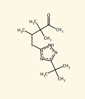 CC(=O)C(C)(C)C(C)Sc1nc(C(C)(C)C)n[nH]1